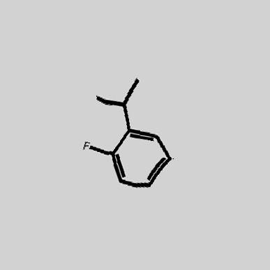 CC(C)c1c[c]ccc1F